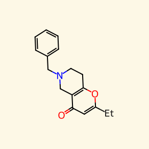 CCc1cc(=O)c2c(o1)CCN(Cc1ccccc1)C2